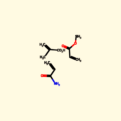 C=C(C)C(=O)O.C=CC(=O)O[SiH3].C=CC(N)=O